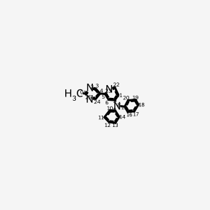 Cc1ncc(-c2cc(N(c3ccccc3)c3ccccc3)ccn2)cn1